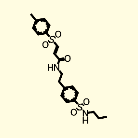 CCCNS(=O)(=O)c1ccc(CCNC(=O)/C=C/S(=O)(=O)c2ccc(C)cc2)cc1